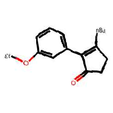 CCCCC1=C(c2cccc(OCC)c2)C(=O)CC1